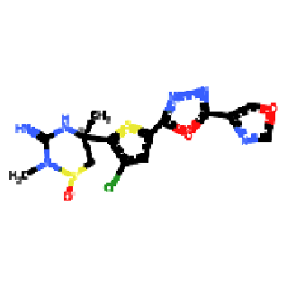 CN1C(=N)N[C@](C)(c2sc(-c3nnc(-c4cocn4)o3)cc2Cl)C[S+]1[O-]